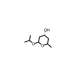 CC(C)OC1C[C@H](O)CC(C)O1